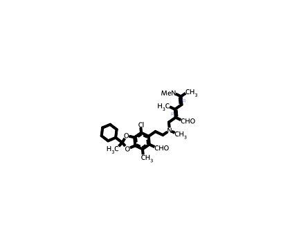 CN/C(C)=C\C(C)=C(/C=O)CN(C)CCc1c(Cl)c2c(c(C)c1C=O)OC(C)(C1CCCCC1)O2